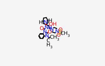 CC(C)n1c(=O)n(C(=O)N[C@@H]2C[C@H]3CC[C@@H](C2)N3C[C@H](O)CN2CCN(S(C)(=O)=O)CC2)c2ccccc21